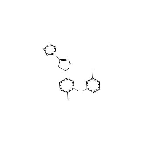 Cc1ccc([C@@H]2CC(n3ccnc3)=NO2)cc1Oc1cccc(C(F)(F)F)c1